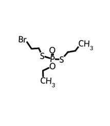 CCCSP(=O)(OCC)SCCBr